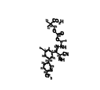 Cc1cc(/C(=N/NC(C)OC(=O)OCC(C)(C)C(=O)O)C(=N)C#N)cc(-c2ccc(C(F)(F)F)nc2)c1